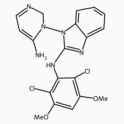 COc1cc(OC)c(Cl)c(Nc2nc3ccccc3n2N2CN=CC=C2N)c1Cl